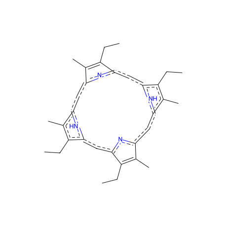 CCC1=C(C)c2cc3[nH]c(cc4nc(cc5[nH]c(cc1n2)c(CC)c5C)C(C)=C4CC)c(CC)c3C